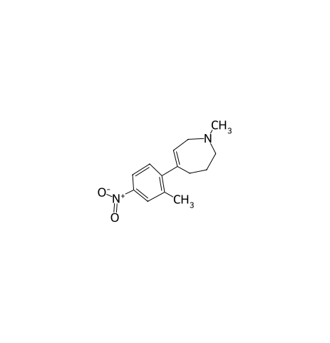 Cc1cc([N+](=O)[O-])ccc1C1=CCN(C)CCC1